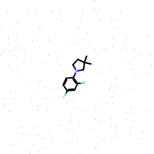 CC1(C)CCN(c2ccc(F)cc2F)C1